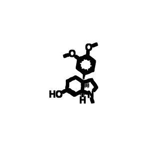 COc1ccc([C@@]23CCC(O)=C[C@@H]2N(C)CC3)cc1OC